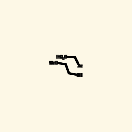 CCOC(=O)CC(C)=O.COCCO